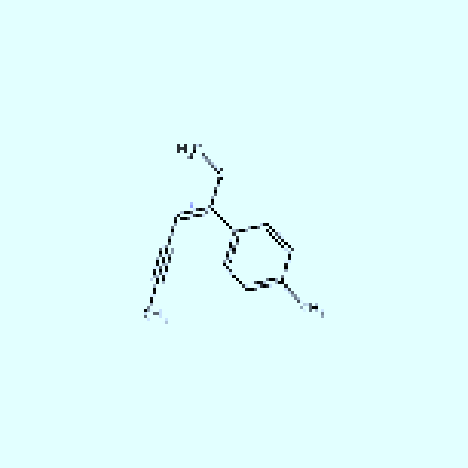 CC#C/C=C(/SC)c1ccc(C)cc1